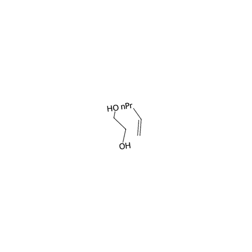 C=CCCC.OCCO